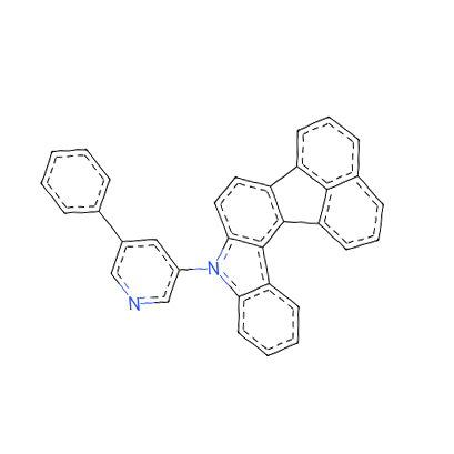 c1ccc(-c2cncc(-n3c4ccccc4c4c5c(ccc43)-c3cccc4cccc-5c34)c2)cc1